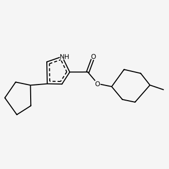 CC1CCC(OC(=O)c2cc(C3CCCC3)c[nH]2)CC1